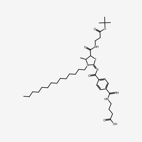 CCCCCCCCCCCCCCN1C(=NC(=O)c2ccc(C(=N)NCCCC(=O)O)cc2)SC(C(=O)NCCC(=O)OC(C)(C)C)C1C